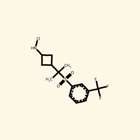 CC(C)(C1CC(NCl)C1)S(=O)(=O)c1cccc(C(F)(F)F)c1